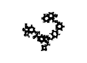 Cc1n[nH]c2ccc(NC(=O)c3ccc4c(c3)nc(CN3CC=C(c5cccc(OCc6c(F)cnc7ccccc67)n5)CC3)n4C[C@@H]3CCO3)cc12